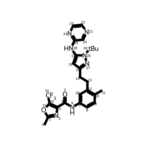 Cc1nc(C(=O)Nc2ccc(C)c(CCc3cc(Nc4cnccn4)n(C(C)(C)C)n3)c2)c(C(F)(F)F)o1